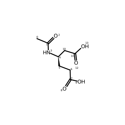 CC(=O)N[C@H](CCC(=O)O)CC(=O)O